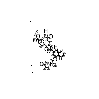 CCOC(=O)N1CCN(C(=O)[C@H](CCC(=O)O)NC(=O)c2cc(OCC(=O)N3CCC(=O)C3)c3ccccc3n2)CC1